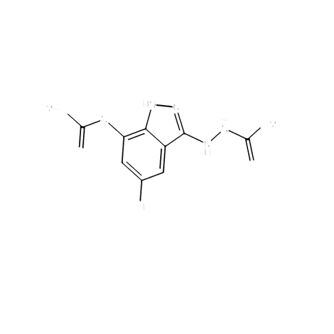 COC(=O)NNc1n[nH]c2c(NC(=O)OC)cc(C(F)(F)F)cc12